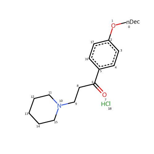 CCCCCCCCCCOc1ccc(C(=O)CCN2CCCCC2)cc1.Cl